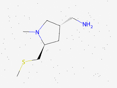 CSC[C@@H]1C[C@@H](CN)CN1C